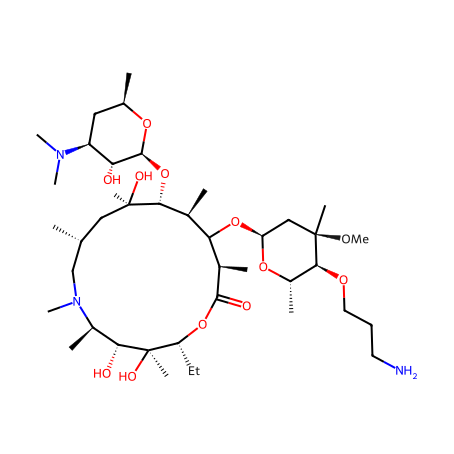 CC[C@H]1OC(=O)[C@H](C)C(O[C@H]2C[C@@](C)(OC)[C@@H](OCCCN)[C@H](C)O2)[C@H](C)[C@@H](O[C@@H]2O[C@H](C)C[C@H](N(C)C)[C@H]2O)[C@](C)(O)C[C@@H](C)CN(C)[C@H](C)[C@@H](O)[C@]1(C)O